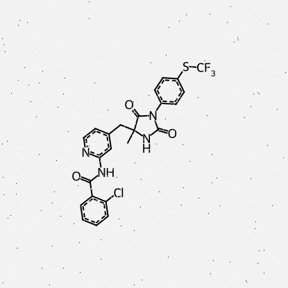 CC1(Cc2ccnc(NC(=O)c3ccccc3Cl)c2)NC(=O)N(c2ccc(SC(F)(F)F)cc2)C1=O